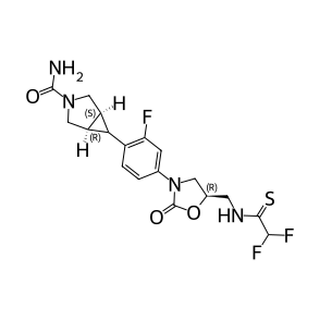 NC(=O)N1C[C@@H]2C(c3ccc(N4C[C@@H](CNC(=S)C(F)F)OC4=O)cc3F)[C@@H]2C1